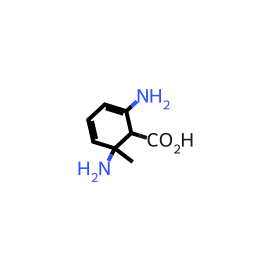 CC1(N)C=CC=C(N)C1C(=O)O